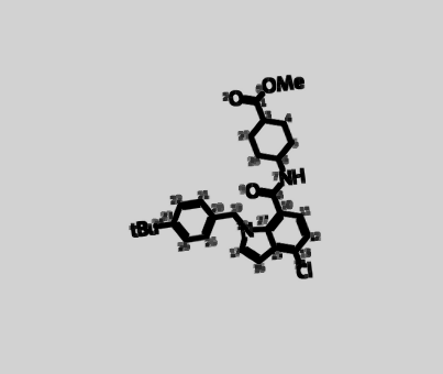 COC(=O)C1CCC(NC(=O)c2ccc(Cl)c3ccn(Cc4ccc(C(C)(C)C)cc4)c23)CC1